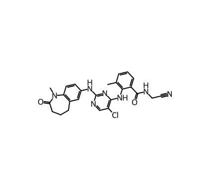 Cc1cccc(C(=O)NCC#N)c1Nc1nc(Nc2ccc3c(c2)CCCC(=O)N3C)ncc1Cl